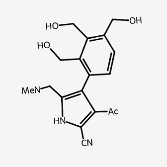 CNCc1[nH]c(C#N)c(C(C)=O)c1-c1ccc(CO)c(CO)c1CO